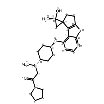 CN(CC(=O)N1CCCC1)[C@H]1CC[C@H](Oc2ncnc3sc4c(c23)C2(CC4)C[C@]2(C)O)CC1